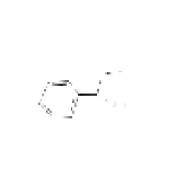 CCCCC(OC(=O)O)c1ccccc1